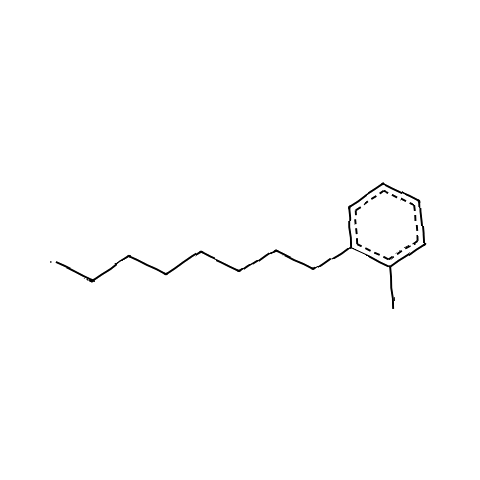 [CH2]CCCCCCCc1ccccc1C